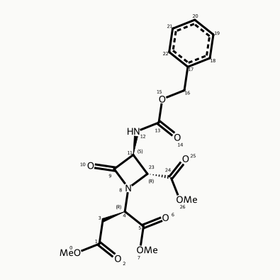 COC(=O)C[C@H](C(=O)OC)N1C(=O)[C@@H](NC(=O)OCc2ccccc2)[C@@H]1C(=O)OC